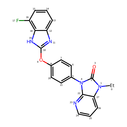 CCn1c(=O)n(-c2ccc(Oc3nc4cccc(F)c4[nH]3)cc2)c2ncccc21